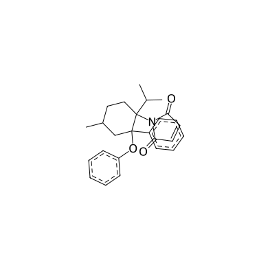 CC1CCC(C(C)C)(N2C(=O)C=CC2=O)C(Oc2ccccc2)(c2ccccc2)C1